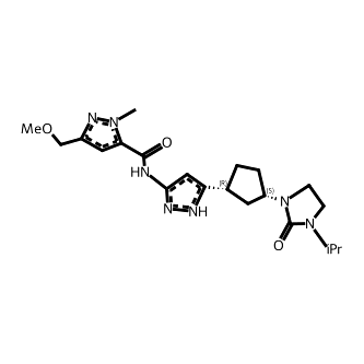 COCc1cc(C(=O)Nc2cc([C@@H]3CC[C@H](N4CCN(C(C)C)C4=O)C3)[nH]n2)n(C)n1